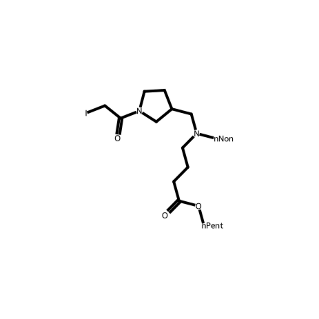 CCCCCCCCCN(CCCC(=O)OCCCCC)CC1CCN(C(=O)CI)C1